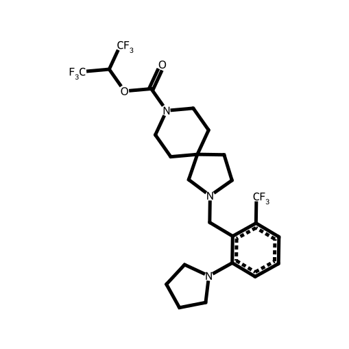 O=C(OC(C(F)(F)F)C(F)(F)F)N1CCC2(CCN(Cc3c(N4CCCC4)cccc3C(F)(F)F)C2)CC1